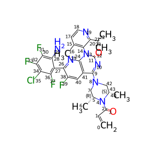 C=CC(=O)N1[C@H](C)CN(c2nc(=O)n(-c3c(C)ccnc3C(C)C)c3nc(-c4c(N)c(F)c(F)c(Cl)c4F)c(F)cc23)C[C@@H]1C